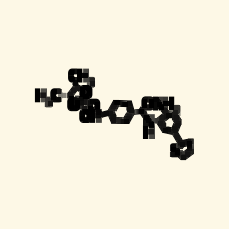 C[C@H]1O[PH](O)(OCc2ccc(C(=O)Nc3cc(-c4cccs4)ccc3N)cc2)O[C@@H]1C